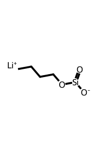 CCCCO[Si](=O)[O-].[Li+]